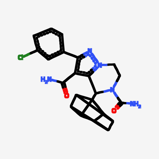 NC(=O)c1c(-c2cccc(Cl)c2)nn2c1C(C13C4C5C6C4C1C6C53)N(C(N)=O)CC2